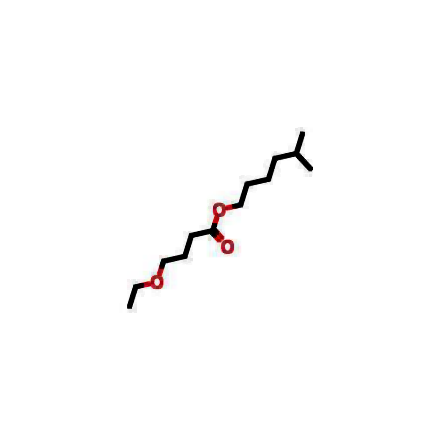 CCOCCCC(=O)OCCCCC(C)C